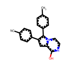 Cc1ccc(-c2c(-c3ccc(C#N)cc3)cc3c(O)nccn23)cc1